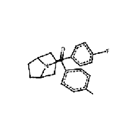 Cc1ccc(C(=O)N2C3CCC2CC(c2ccc(F)cc2)C3)cc1